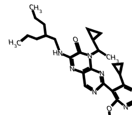 CCCC(CCC)CNc1nc2cnc(-c3c(OC)ncnc3C3CC3)nc2n(C(C)C2CC2)c1=O